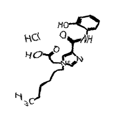 CCCCCC[N+]1(CC(=O)O)C=NC(C(=O)Nc2ccccc2O)=C1.Cl